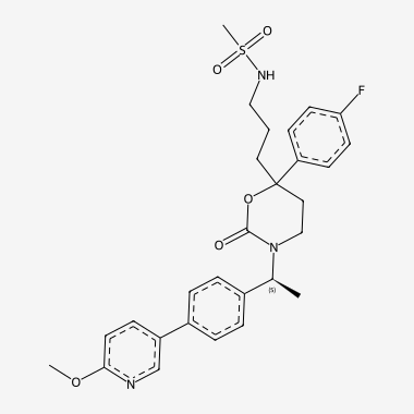 COc1ccc(-c2ccc([C@H](C)N3CCC(CCCNS(C)(=O)=O)(c4ccc(F)cc4)OC3=O)cc2)cn1